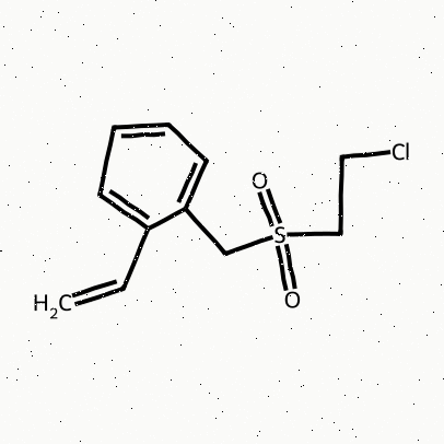 C=Cc1ccccc1CS(=O)(=O)CCCl